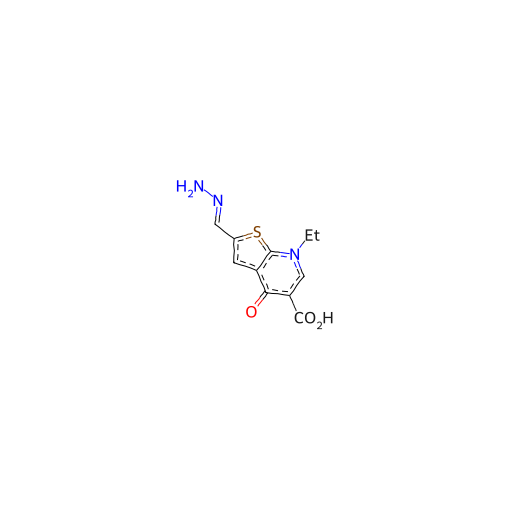 CCn1cc(C(=O)O)c(=O)c2cc(C=NN)sc21